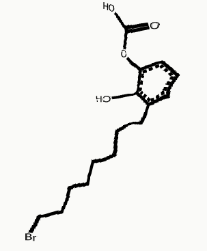 O=C(O)Oc1cccc(CCCCCCCCBr)c1O